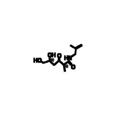 C=C(C)CNC(=O)[C@@H](C)C(=O)C[C@H](O)CO